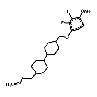 C=CCCC1CCC(C2CCC(COc3ccc(OC)c(F)c3F)CC2)CO1